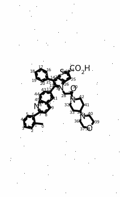 Cc1ccccc1-c1ccc2cc(-c3c(-c4ccccc4)c4sc(C(=O)O)cc4n3CC(=O)N3CCC(N4CCOCC4)CC3)ccc2n1